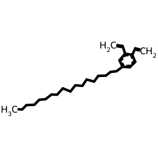 C=Cc1ccc(CCCCCCCCCCCCCCCCCC)cc1C=C